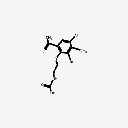 CC(=O)c1cc(Cl)c(C)c(Br)c1OCCNC(=O)O